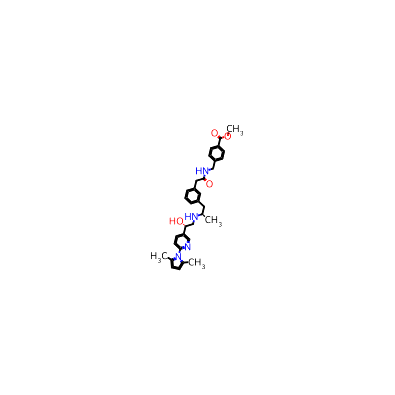 COC(=O)c1ccc(CNC(=O)Cc2cccc(C[C@@H](C)NC[C@@H](O)c3ccc(-n4c(C)ccc4C)nc3)c2)cc1